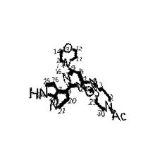 CC(=O)N1CCS(=O)(=Nc2cc(N3CCOC[C@H]3C)nc(-c3ccnc4[nH]ccc34)n2)CC1